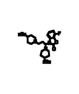 CCCCC1CCN(CCC(N2CCC(CCCC)CC2)n2c(=O)oc3c(F)cccc32)CC1